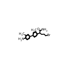 Cc1cc(-c2ccc(C(CCCBr)C(N)=O)c(C)c2)ccc1N